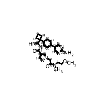 COCCN(C)C(=O)Cn1cc(C(=O)NC(=N)C2(c3ccc(-c4cnc(N)nc4)cc3)CCC2)cn1